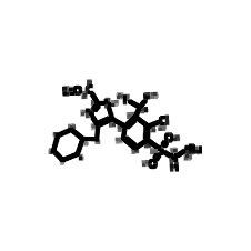 CCOC(=O)c1nc(CC2CCCCC2)c(-c2ccc(S(=O)(=O)NC(C)(C)C)c(Cl)c2C(F)F)s1